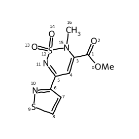 COC(=O)C1=CC(c2ccsn2)=NS(=O)(=O)N1C